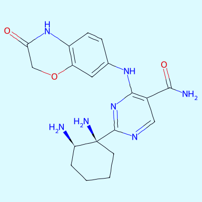 NC(=O)c1cnc([C@]2(N)CCCC[C@H]2N)nc1Nc1ccc2c(c1)OCC(=O)N2